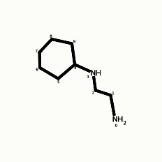 NCCNC1CC[CH]CC1